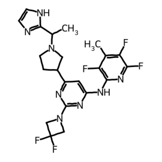 Cc1c(F)c(F)nc(Nc2cc(C3CCN(C(C)c4ncc[nH]4)C3)nc(N3CC(F)(F)C3)n2)c1F